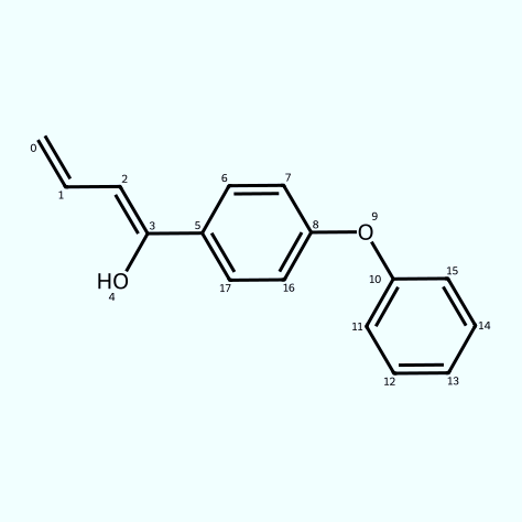 C=CC=C(O)c1ccc(Oc2ccccc2)cc1